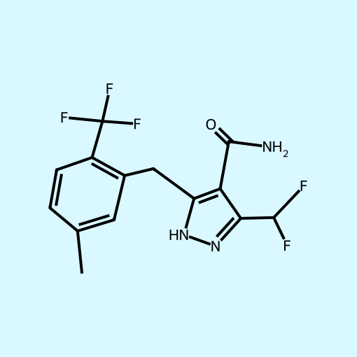 Cc1ccc(C(F)(F)F)c(Cc2[nH]nc(C(F)F)c2C(N)=O)c1